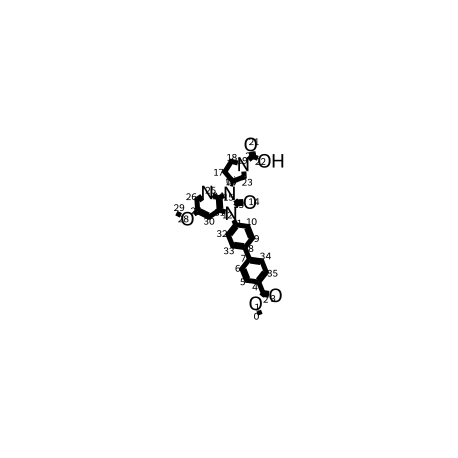 COC(=O)c1ccc(-c2ccc(-n3c(=O)n([C@H]4CCN(C(=O)O)C4)c4ncc(OC)cc43)cc2)cc1